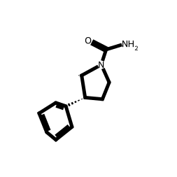 NC(=O)N1[CH][C@@H](c2ccccc2)CC1